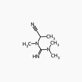 CC(C#N)N(C)C(=N)N(C)C